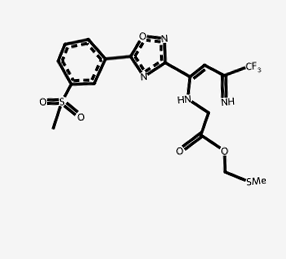 CSCOC(=O)CN/C(=C\C(=N)C(F)(F)F)c1noc(-c2cccc(S(C)(=O)=O)c2)n1